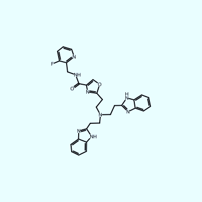 O=C(NCc1ncccc1F)c1coc(CCN(CCc2nc3ccccc3[nH]2)CCc2nc3ccccc3[nH]2)n1